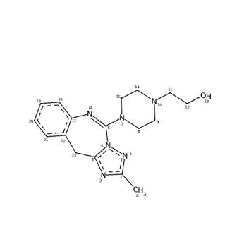 Cc1nc2n(n1)C(N1CCN(CCO)CC1)=Nc1ccccc1C2